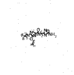 CC(C)(NC(=O)c1cnc(N2CC(F)(F)C2)c(OCC2CC2)n1)c1noc(N)n1